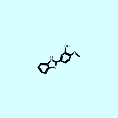 COc1ccc(C2Nc3ccccc3S2)cc1O